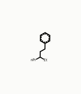 [CH2]CCC(CC)CCc1ccccc1